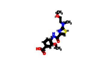 COCCN(C)c1nc(C(=O)Nc2ccc(C(=O)O)cc2OC)cs1